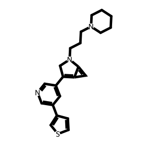 C1=C2C1=C(c1cncc(-c3ccsc3)c1)CN2CCCN1CCCCC1